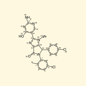 Cc1ccc(Cl)cc1N1C(=O)c2nc(-c3cnc(N)nc3O)n(C(C)C)c2C1c1ccc(Cl)cc1